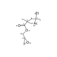 CCC(C)(CC(C)(C)C(=O)OCC1CO1)C(C)=O